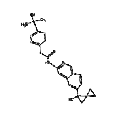 CC(C)(O)c1ccc(CC(=O)Nc2cc3cc(C4(C#N)CC45CC5)ccc3cn2)cc1